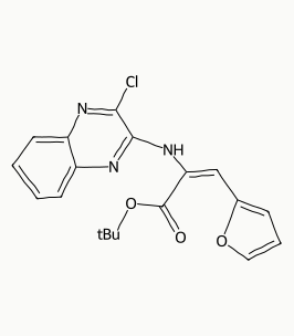 CC(C)(C)OC(=O)C(=Cc1ccco1)Nc1nc2ccccc2nc1Cl